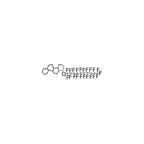 FC(F)(F)C(F)(F)C(F)(F)C(F)(F)C(F)(F)C(F)(F)C(F)(F)C(F)(F)C(F)(F)C(F)(F)OC1CC=Cc2c1ccc1c2ccc2ccccc21